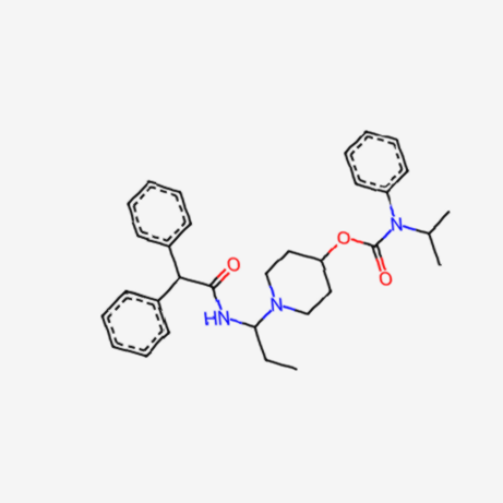 CCC(NC(=O)C(c1ccccc1)c1ccccc1)N1CCC(OC(=O)N(c2ccccc2)C(C)C)CC1